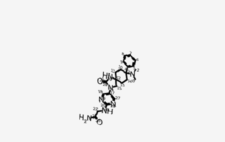 CN(C)C1(c2ccccc2)CCC2(CC1)CN(c1cnc(NCC(N)=O)nc1)C(=O)N2